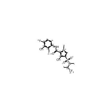 C[C@@H](N(C)S(=O)(=O)c1cn(C)c(C(=O)Nc2ccc(F)c(Cl)c2F)c1Cl)C(F)(F)F